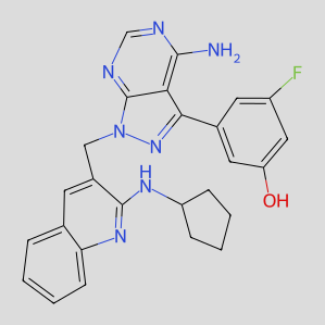 Nc1ncnc2c1c(-c1cc(O)cc(F)c1)nn2Cc1cc2ccccc2nc1NC1CCCC1